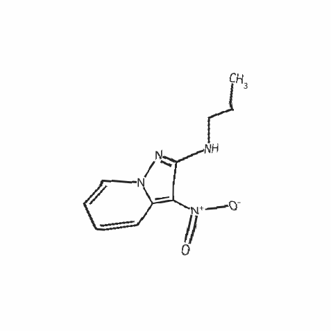 CCCNc1nn2ccccc2c1[N+](=O)[O-]